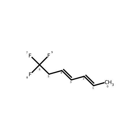 CC=CC=CCC(F)(F)F